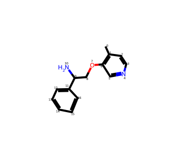 Cc1ccncc1OCC(N)c1ccccc1